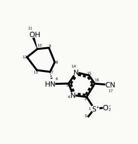 C[S+]([O-])c1nc(N[C@H]2CC[C@H](O)CC2)ncc1C#N